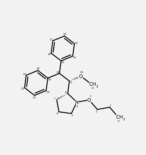 CCCON1CCC[C@@H]1[C@@H](OC)C(c1ccccc1)c1ccccc1